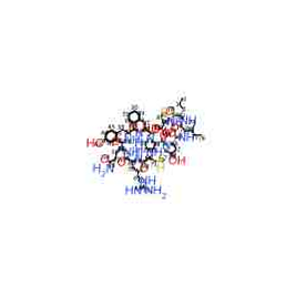 CCC[C@H](NC(=O)[C@@H](NC(=O)[C@@H]1C[C@@H](O)CN1C(=O)[C@@H]1CCCN1C(=O)[C@H](Cc1ccccc1)NC(=O)[C@H](Cc1ccc(O)cc1)NC(=O)[C@H](CCC(N)=O)NC(=O)[C@H](CCCNC(=N)N)NC(=O)[C@@H](N)CS)[C@@H](C)CC)C(=O)N[C@@H](CS)C(=O)O